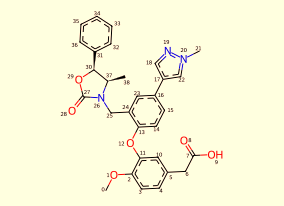 COc1ccc(CC(=O)O)cc1Oc1ccc(-c2cnn(C)c2)cc1CN1C(=O)O[C@@H](c2ccccc2)[C@H]1C